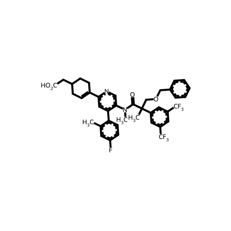 Cc1cc(F)ccc1-c1cc(C2=CCC(CC(=O)O)CC2)ncc1N(C)C(=O)C(C)(COCc1ccccc1)c1cc(C(F)(F)F)cc(C(F)(F)F)c1